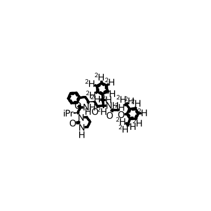 [2H]c1c([2H])c([2H])c(C([2H])([2H])[C@]([2H])(NC(=O)COc2c(C([2H])([2H])[2H])c([2H])c([2H])c([2H])c2C([2H])([2H])[2H])[C@@H](O)C[C@H](Cc2ccccc2)NC(=O)[C@H](C(C)C)N2CCCNC2=O)c([2H])c1[2H]